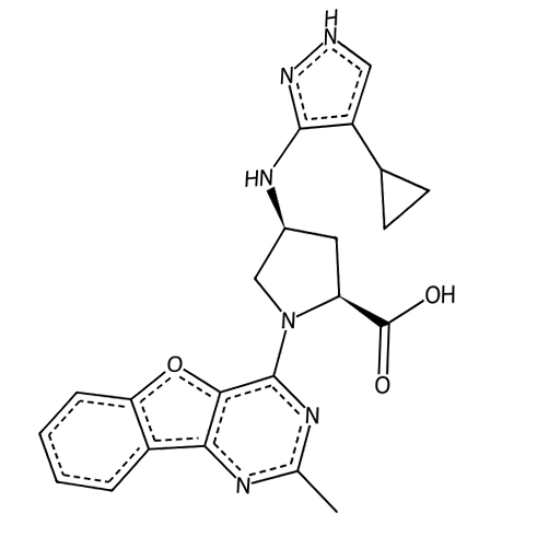 Cc1nc(N2C[C@@H](Nc3n[nH]cc3C3CC3)C[C@H]2C(=O)O)c2oc3ccccc3c2n1